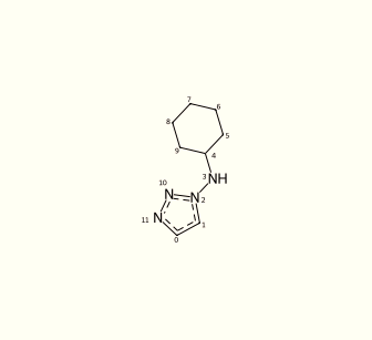 c1cn(NC2CCCCC2)nn1